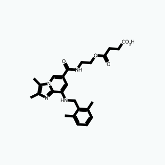 Cc1cccc(C)c1CNc1cc(C(=O)NCCOC(=O)CCC(=O)O)cn2c(C)c(C)nc12